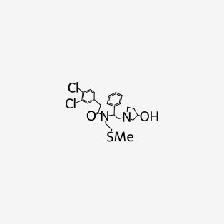 CSCCN(C(=O)Cc1ccc(Cl)c(Cl)c1)C(CN1CCC(O)C1)c1ccccc1